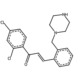 O=C(/C=C/c1ccccc1CN1CCNCC1)c1ccc(Cl)cc1Cl